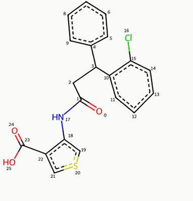 O=C(CC(c1ccccc1)c1ccccc1Cl)Nc1cscc1C(=O)O